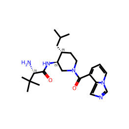 CC(C)C[C@@H]1CCN(C(=O)c2cccn3cncc23)C[C@H]1NC(=O)[C@@H](N)C(C)(C)C